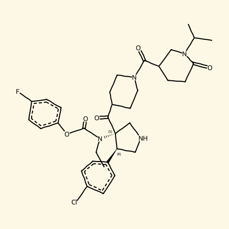 CCN(C(=O)Oc1ccc(F)cc1)[C@]1(C(=O)C2CCN(C(=O)C3CCC(=O)N(C(C)C)C3)CC2)CNC[C@H]1c1ccc(Cl)cc1